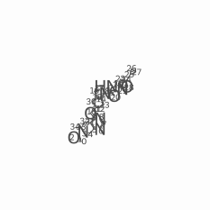 CC(=O)N1Cc2ncnc(Oc3ccc4c(ccn4C(=O)Nc4cc(C5CC5)on4)c3)c2CC1C